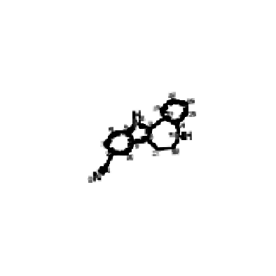 N#Cc1ccc2[nH]c3c(c2c1)CCNc1ccccc1-3